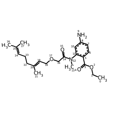 CCOC(=O)c1ccc(N)cc1N(C)C(=O)COC/C=C(\C)CCC=C(C)C